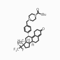 CC(C)(C)C(=O)N1CCN(Cc2ccc([C@H]3C[C@@]4(C)[C@@H](CC[C@]4(O)C(F)(F)C(F)(F)F)[C@@H]4CCC5=CC(=O)CCC5=C43)cc2)CC1